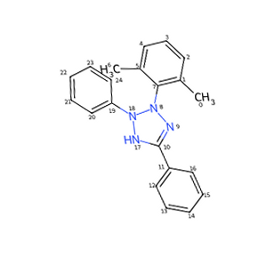 Cc1cccc(C)c1N1N=C(c2ccccc2)NN1c1ccccc1